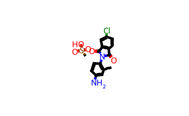 CS(=O)(=O)O.Cc1cc(N)ccc1N1C(=O)c2ccc(Cl)cc2C1=O